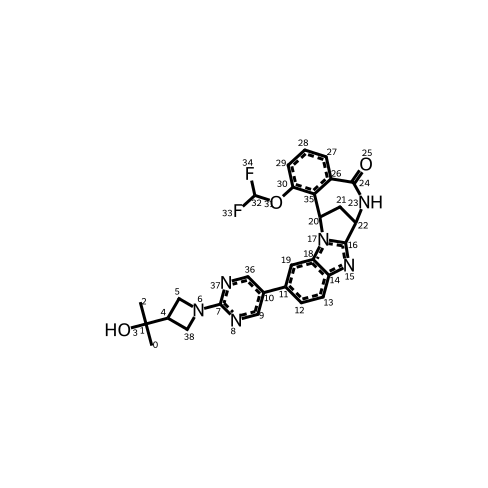 CC(C)(O)C1CN(c2ncc(-c3ccc4nc5n(c4c3)C3CC5NC(=O)c4cccc(OC(F)F)c43)cn2)C1